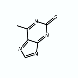 CC1=NC(=S)N=C2N=CN=C12